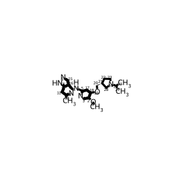 COc1cnc(Nc2nc(C)cc3[nH]ncc23)cc1OC[C@@H]1CCN(C(C)C)C1